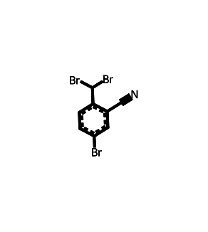 N#Cc1cc(Br)ccc1C(Br)Br